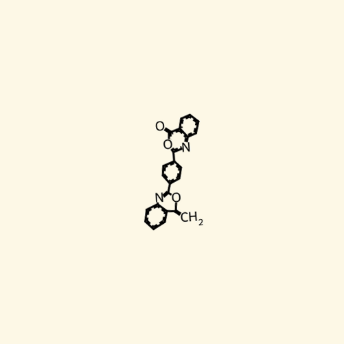 C=C1OC(c2ccc(-c3nc4ccccc4c(=O)o3)cc2)=Nc2ccccc21